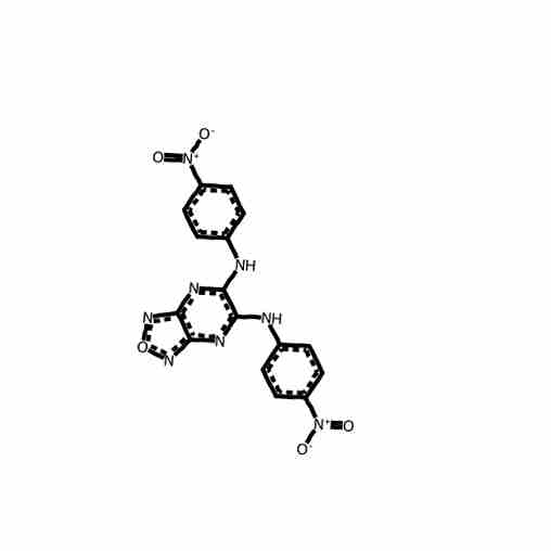 O=[N+]([O-])c1ccc(Nc2nc3nonc3nc2Nc2ccc([N+](=O)[O-])cc2)cc1